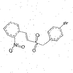 O=[N+]([O-])c1ccccc1C=CS(=O)(=O)Cc1ccc(Br)cc1